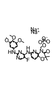 COc1cc(Nc2ncc(F)c(Nc3ccc4c(n3)N(COP(=O)([O-])[O-])C(=O)C(C)(C)O4)n2)cc(OC)c1OC.[Na+].[Na+]